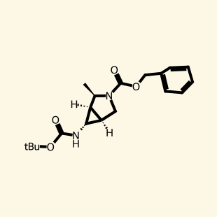 C[C@@H]1[C@H]2[C@@H](CN1C(=O)OCc1ccccc1)[C@@H]2NC(=O)OC(C)(C)C